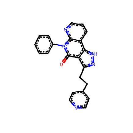 O=c1c2c(CCc3ccncc3)n[nH]c2c2cccnc2n1-c1ccccc1